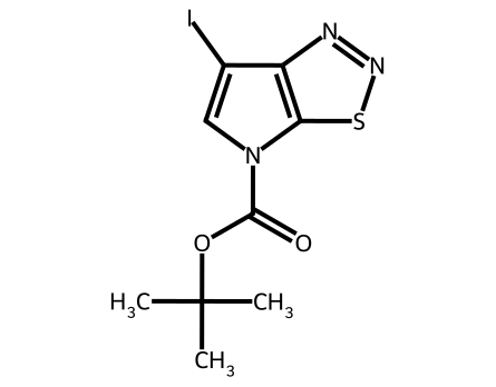 CC(C)(C)OC(=O)n1cc(I)c2nnsc21